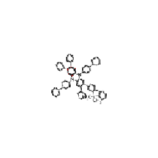 CC1(C)c2ccccc2-c2ccc(-c3cc(N(c4ccc(-c5ccccc5)cc4)c4ccc(-c5ccccc5)cc4)c(N(c4ccc(-c5ccccc5)cc4)c4ccc(-c5ccccc5)cc4)cc3-c3ccccc3)cc21